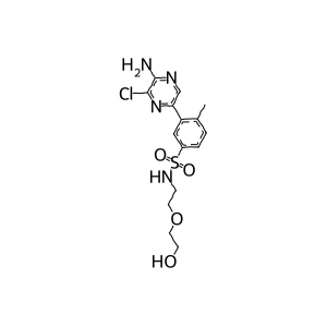 Cc1ccc(S(=O)(=O)NCCOCCO)cc1-c1cnc(N)c(Cl)n1